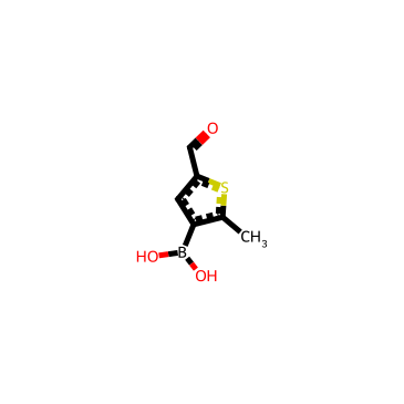 Cc1sc(C=O)cc1B(O)O